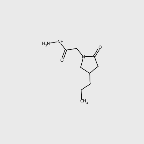 CCCC1CC(=O)N(CC(=O)NN)C1